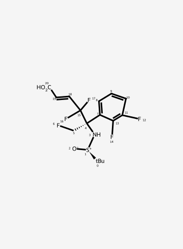 CC(C)(C)[S@@+]([O-])N[C@](CF)(c1cccc(F)c1F)C(F)(F)C=CC(=O)O